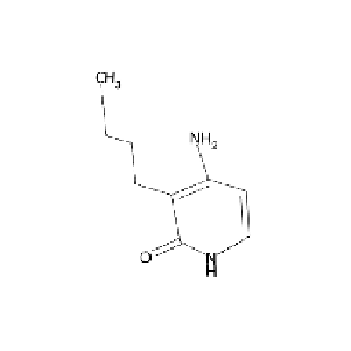 CCCCc1c(N)cc[nH]c1=O